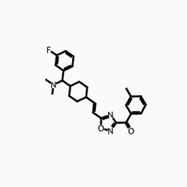 Cc1cccc(C(=O)c2noc(C=CC3CCC(C(c4cccc(F)c4)N(C)C)CC3)n2)c1